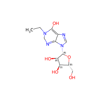 CCN1CN=c2c(ncn2[C@@H]2O[C@H](CO)[C@@H](O)[C@H]2O)=C1O